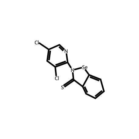 S=c1c2ccccc2[se]n1-c1ncc(Cl)cc1Cl